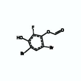 O=COc1c(Br)cc(Br)c(O)c1F